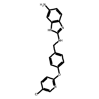 Nc1ccc2nc(NCc3ccc(Oc4ccc(Cl)cn4)cc3)[nH]c2c1